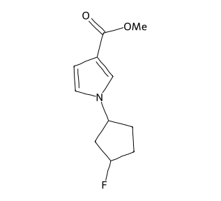 COC(=O)c1ccn(C2CCC(F)C2)c1